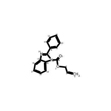 C=CCOC(=O)n1c(-c2ccccc2)nc2ccccc21